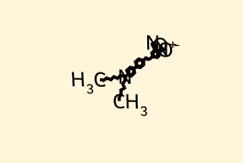 CCCCCCCN(CCCCCCC)c1ccc(-c2ccc(C=Cc3ccc([N+](=O)[O-])c(C#N)c3)cc2)cc1